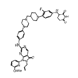 C=CCn1c(=O)c2cnc(Nc3ccc(N4CCN(CC5CCN(c6ccc(NC7CCC(=O)NC7=O)cc6F)CC5)CC4)cc3)nc2n1-c1cccc(OC)n1